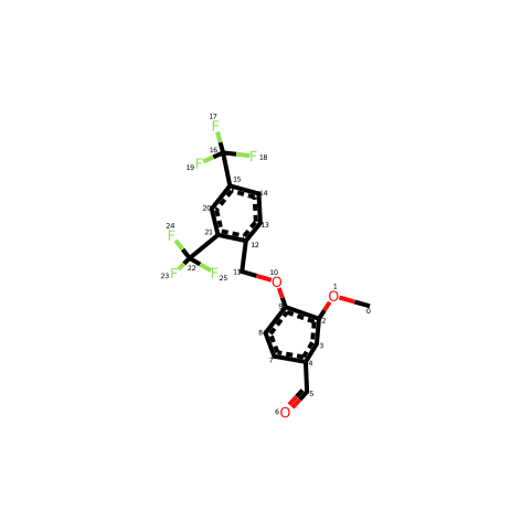 COc1cc(C=O)ccc1OCc1ccc(C(F)(F)F)cc1C(F)(F)F